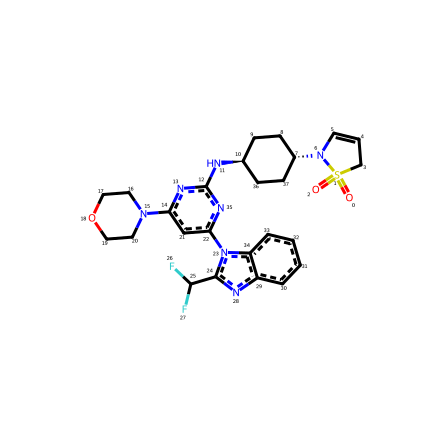 O=S1(=O)CC=CN1[C@H]1CC[C@H](Nc2nc(N3CCOCC3)cc(-n3c(C(F)F)nc4ccccc43)n2)CC1